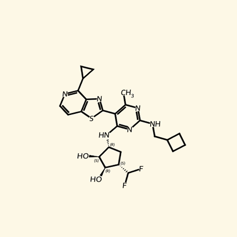 Cc1nc(NCC2CCC2)nc(N[C@@H]2C[C@H](C(F)F)[C@@H](O)[C@H]2O)c1-c1nc2c(C3CC3)nccc2s1